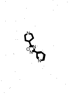 c1cncc(-c2noc(C3CC[N]CC3)n2)c1